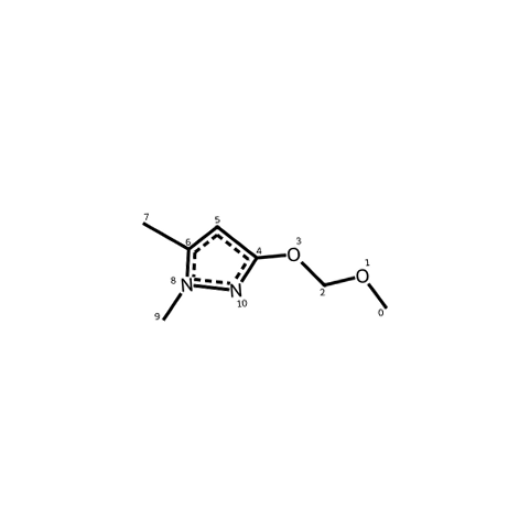 COCOc1cc(C)n(C)n1